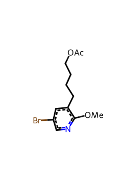 COc1ncc(Br)cc1CCCCOC(C)=O